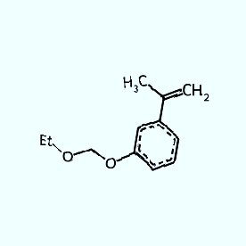 C=C(C)c1cccc(OCOCC)c1